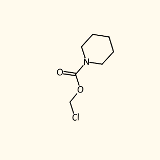 O=C(OCCl)N1CCCCC1